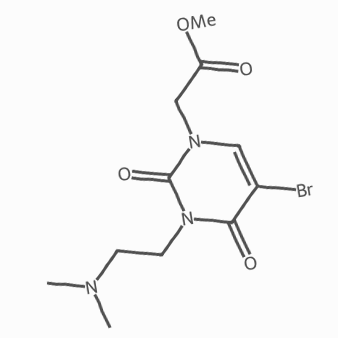 COC(=O)Cn1cc(Br)c(=O)n(CCN(C)C)c1=O